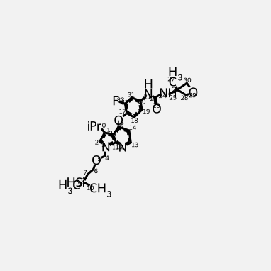 CC(C)c1cn(COCC[SiH](C)C)c2nccc(Oc3ccc(NC(=O)NCC4(C)COC4)cc3F)c12